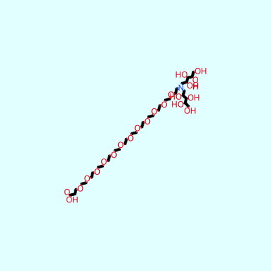 O=C(O)CCOCCOCCOCCOCCOCCOCCOCCOCCOCCOCCOCCOCCN(C[C@H](O)[C@@H](O)[C@H](O)CO)C[C@H](O)[C@@H](O)[C@H](O)CO